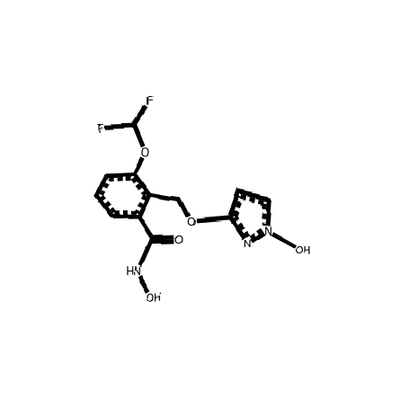 O=C(NO)c1cccc(OC(F)F)c1COc1ccn(O)n1